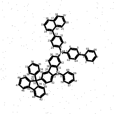 c1ccc(-c2ccc(N(c3ccc(-c4cccc5ccccc45)cc3)c3ccc4c5cc(C6(c7ccccc7)c7ccccc7-c7ccccc76)ccc5n(-c5ccccc5)c4c3)cc2)cc1